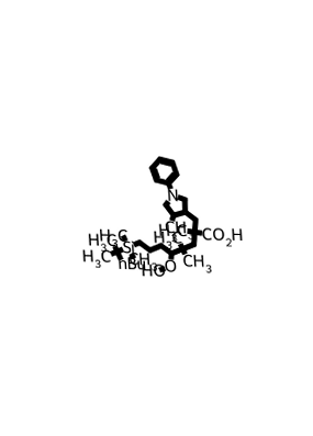 CCCCC(C)(C)[Si](C)(C)CCCC(OO)C(C)(C)CC(C)(CC1CN(c2ccccc2)CC1C)C(=O)O